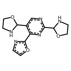 c1coc(-c2nc(C3NCCO3)ncc2C2NCCO2)n1